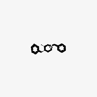 C[C@@H]1CN(Cc2ccccc2)CC[C@@H]1Cc1ccccc1